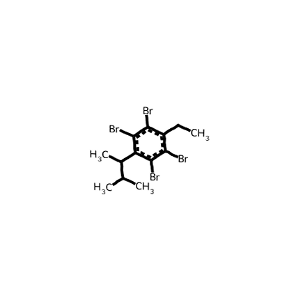 CCc1c(Br)c(Br)c(C(C)C(C)C)c(Br)c1Br